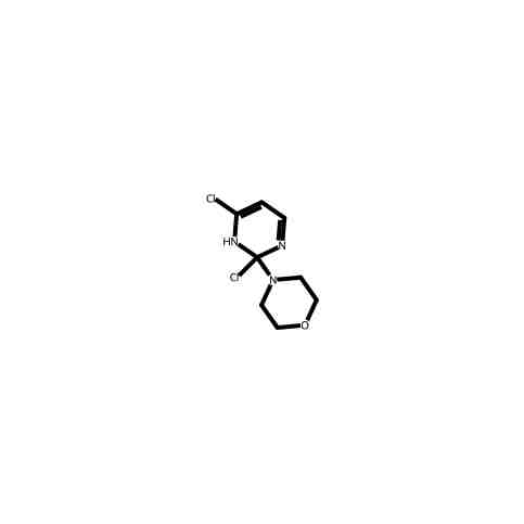 ClC1=CC=NC(Cl)(N2CCOCC2)N1